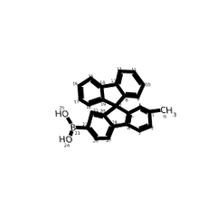 Cc1ccc2c(c1)C1(c3ccccc3-c3ccccc31)c1cc(B(O)O)ccc1-2